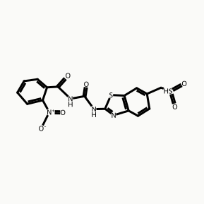 O=C(NC(=O)c1ccccc1[N+](=O)[O-])Nc1nc2ccc(C[SH](=O)=O)cc2s1